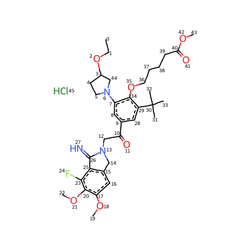 CCOC1CCN(c2cc(C(=O)CN3Cc4cc(OC)c(OC)c(F)c4C3=N)cc(C(C)(C)C)c2OCCCCC(=O)OC)C1.Cl